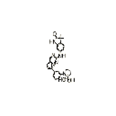 CC1(C)C(=O)Nc2cc(Nc3ncc4ccc(-c5cccc(N6CCCS6(O)O)c5)n4n3)ccc21